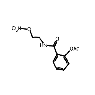 CC(=O)Oc1ccccc1C(=O)NCCO[N+](=O)[O-]